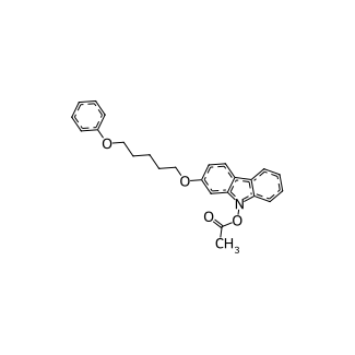 CC(=O)On1c2ccccc2c2ccc(OCCCCCOc3ccccc3)cc21